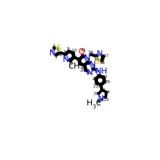 Cc1nc(-c2cncs2)ccc1-c1cc2cnc(Nc3ccc(C4CCN(C)C4)cc3)nc2n(Cc2nccs2)c1=O